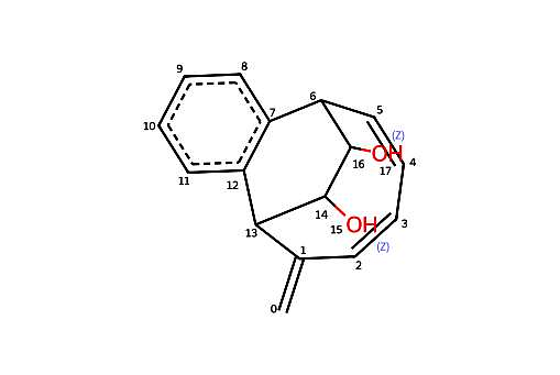 C=C1/C=C\C=C/C2c3ccccc3C1C(O)C2O